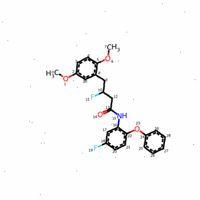 COc1ccc(OC)c(CC(F)CC(=O)Nc2cc(F)ccc2Oc2ccccc2)c1